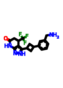 NCc1cccc(C2CC(c3[nH]nc4c3C(C(F)(F)F)CC(=O)N4)C2)c1